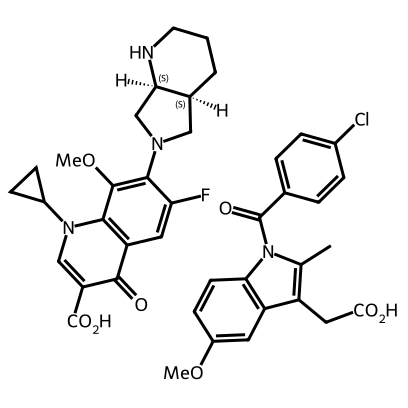 COc1c(N2C[C@@H]3CCCN[C@@H]3C2)c(F)cc2c(=O)c(C(=O)O)cn(C3CC3)c12.COc1ccc2c(c1)c(CC(=O)O)c(C)n2C(=O)c1ccc(Cl)cc1